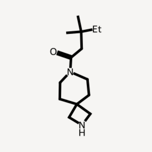 CCC(C)(C)CC(=O)N1CCC2(CC1)CNC2